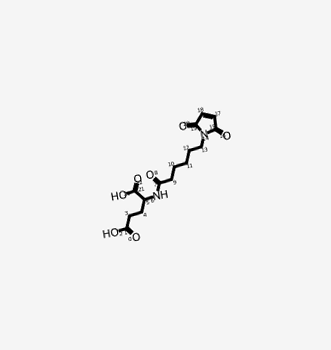 O=C(O)CCC(NC(=O)CCCCCN1C(=O)C=CC1=O)C(=O)O